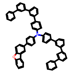 c1ccc(-c2cccc(-c3cccc(-c4ccc(N(c5ccc(-c6cccc(-c7cccc(-c8ccccc8)c7)c6)cc5)c5ccc(-c6ccc7oc8ccccc8c7c6)cc5)cc4)c3)c2)cc1